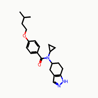 CC(C)CCOc1ccc(C(=O)N(C2CC2)C2CCc3[nH]ncc3C2)cc1